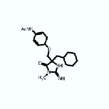 CC(=O)NC1=CCC(OCC2(CC3CCCCC3)NC(=N)N(C)C2=O)C=C1